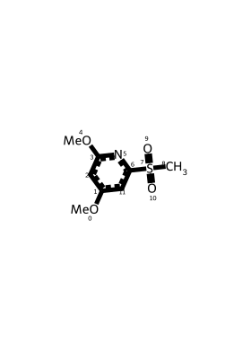 COc1cc(OC)nc(S(C)(=O)=O)c1